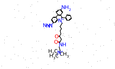 C[N+](C)(C)CCNC(=O)CC(=O)CCCCC[n+]1c(-c2ccccc2)c2cc(N)ccc2c2ccc(N=[N+]=[N-])cc21